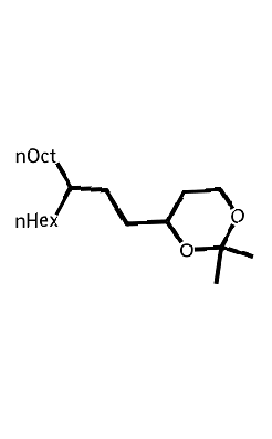 CCCCCCCCC(CCCCCC)CCC1CCOC(C)(C)O1